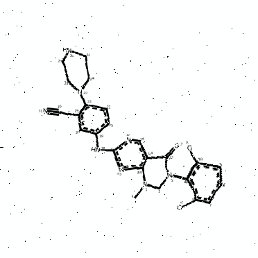 CN1CN(c2c(Cl)cccc2Cl)C(=O)c2cnc(Nc3ccc(N4CCNCC4)c(C#N)c3)nc21